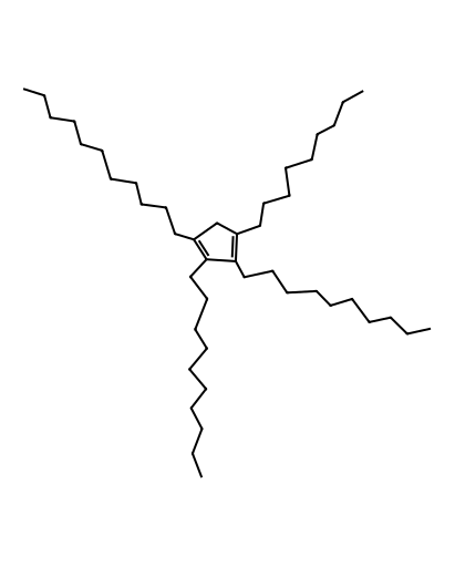 CCCCCCCCCCCC1=C(CCCCCCCCCC)C(CCCCCCCCCC)=C(CCCCCCCCC)C1